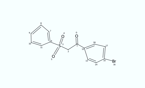 O=C(CS(=O)(=O)c1ccccc1)c1ccc(Br)cc1